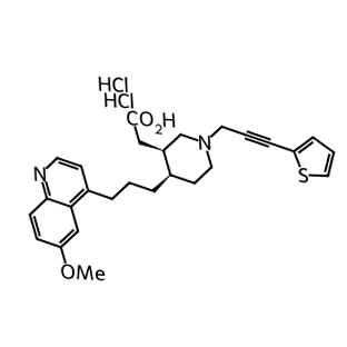 COc1ccc2nccc(CCC[C@@H]3CCN(CC#Cc4cccs4)C[C@@H]3CC(=O)O)c2c1.Cl.Cl